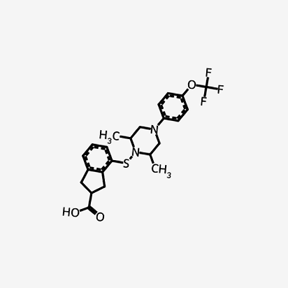 CC1CN(c2ccc(OC(F)(F)F)cc2)CC(C)N1Sc1cccc2c1CC(C(=O)O)C2